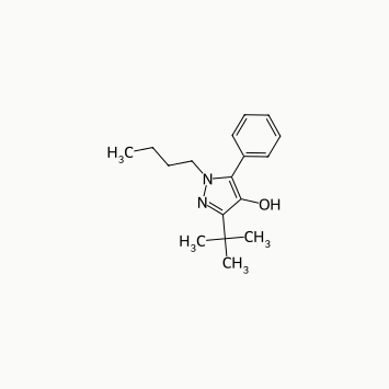 CCCCn1nc(C(C)(C)C)c(O)c1-c1ccccc1